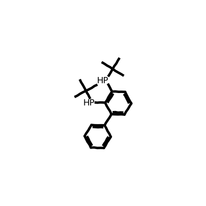 CC(C)(C)Pc1cccc(-c2ccccc2)c1PC(C)(C)C